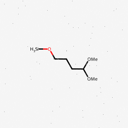 COC(CC[CH]O[SiH3])OC